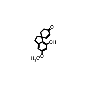 COc1cc(O)c2c(c1)CCC21C=CC(=O)CC1